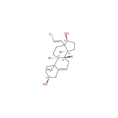 CC12CC[C@H](O)CC1=CC[C@@H]1[C@@H]2CCC2(C=CCl)[C@@H](O)CC[C@@H]12